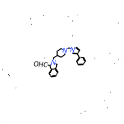 O=CC1c2ccccc2CN1CC1CCN(Cn2ccc(-c3ccccc3)c2)CC1